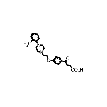 O=C(O)CCC(=O)c1ccc(OCCN2CCN(c3ccccc3C(F)(F)F)CC2)cc1